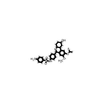 COc1cc2c(cc1OC(F)F)C1CC(O)CCC1N=C2c1ccc(NS(=O)(=O)c2ccc(C)cc2)cc1